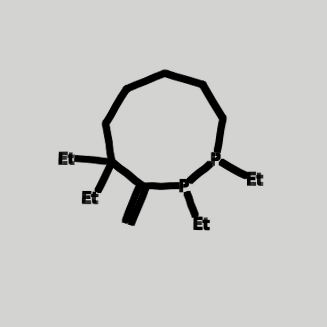 C=C1P(CC)P(CC)CCCCCC1(CC)CC